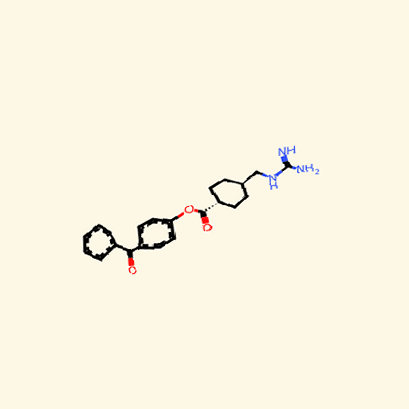 N=C(N)NC[C@H]1CC[C@H](C(=O)Oc2ccc(C(=O)c3ccccc3)cc2)CC1